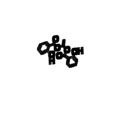 C=C(OC(=O)c1ccccc1O)OC(=O)c1ccccc1O